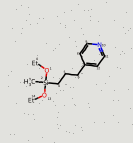 CCO[Si](C)(CCCc1ccncc1)OCC